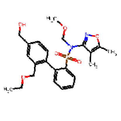 CCOCc1cc(CO)ccc1-c1ccccc1S(=O)(=O)N(COC)c1noc(C)c1C